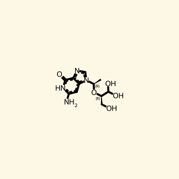 C[C@@H](O[C@H](CO)C(O)O)n1cnc2c(=O)[nH]c(N)cc21